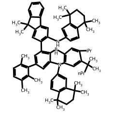 CCCC(C)(C)c1cc2c(cc1C(C)C)Bc1c(-c3cc4c(cc3Nc3ccc5c(c3)C(C)(C)CCC5(C)C)-c3ccccc3C4(C)C)cc(-c3c(C)ccc(C)c3C)cc1N2c1ccc2c(c1)C(C)(C)CCC2(C)C